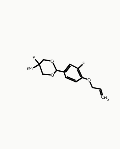 C=CCOc1ccc(C2OCC(F)(CCC)CO2)cc1F